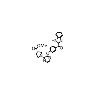 COC(=O)[C@H]1CCN(c2nccnc2Oc2ccc(C(=O)c3nc4ccccc4[nH]3)cc2)C1